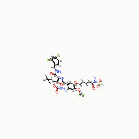 CC(C)(C)CC(OC(N)=O)c1oc(-c2ccc(OC(F)F)c(OCCCCC(=O)NS(C)(=O)=O)c2)nc1C(=O)NCc1ccc(F)cc1F